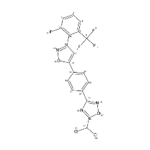 Fc1cccc(C(F)(F)F)c1-c1cc(-c2ccc(-c3noc(C(Cl)Cl)n3)cc2)on1